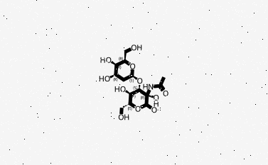 CC(=O)N[C@]1(O)C([O])O[C@H](CO)[C@@H](O)[C@@H]1O[C@H]1C[C@@H](O)[C@@H](O)[C@@H](CO)O1